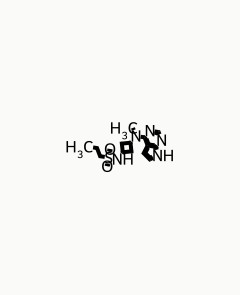 CCCS(=O)(=O)NC1CC(N(C)c2ncnc3[nH]ccc23)C1